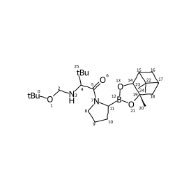 CC(C)(C)OCNC(C(=O)N1CCCC1B1OC2C3CC(C[C@]2(C)O1)C3(C)C)C(C)(C)C